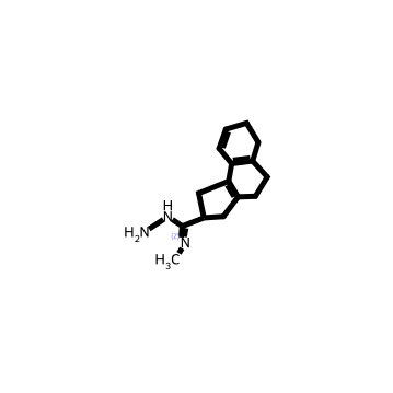 C/N=C(\NN)C1CC2=C(C1)C1=C(CCC=C1)CC2